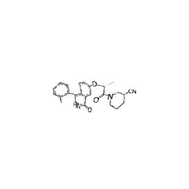 Cc1ccccc1-c1c[nH]c(=O)c2cc(O[C@H](C)C(=O)N3CCC[C@H](C#N)C3)ccc12